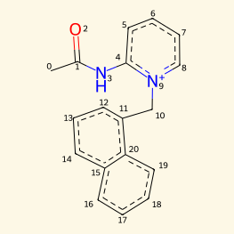 CC(=O)Nc1cccc[n+]1Cc1cccc2ccccc12